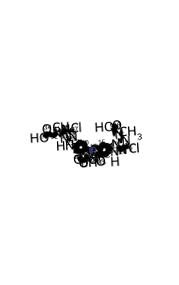 CN(CC(=O)O)c1nc(Cl)nc(Nc2ccc(/C=C/c3ccc(Nc4nc(Cl)nc(N(C)CC(=O)O)n4)cc3S(=O)(=O)O)c(S(=O)(=O)O)c2)n1